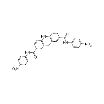 O=C(Nc1ccc([N+](=O)[O-])cc1)c1ccc2c(c1)Cc1cc(C(=O)Nc3ccc([N+](=O)[O-])cc3)ccc1N2